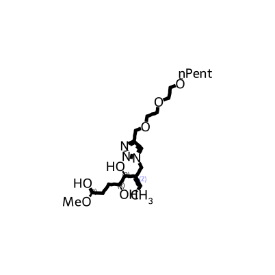 C/C=C(/Cn1cc(COCCOCCOCCCCC)nn1)[C@@H](O)[C@H](O)CC[C@H](O)OC